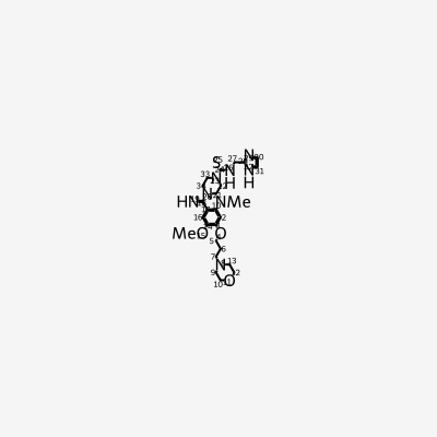 CNc1cc(OCCCN2CCOCC2)c(OC)cc1C(=N)N1CCN(C(=S)NCc2ncc[nH]2)CC1